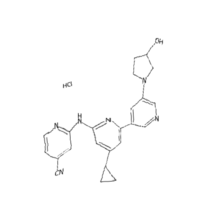 Cl.N#Cc1ccnc(Nc2cc(C3CC3)cc(-c3cncc(N4CCC(O)C4)c3)n2)c1